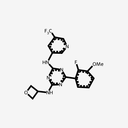 COc1cccc(-c2nc(Nc3cncc(C(F)(F)F)c3)nc(NC3COC3)n2)c1F